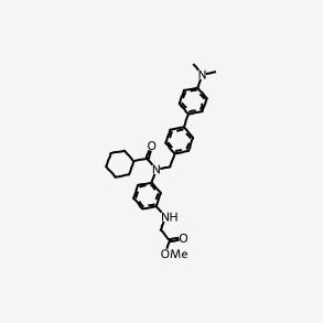 COC(=O)CNc1cccc(N(Cc2ccc(-c3ccc(N(C)C)cc3)cc2)C(=O)C2CCCCC2)c1